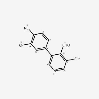 N#Cc1ccc(-c2cncc(F)c2C=O)cc1Cl